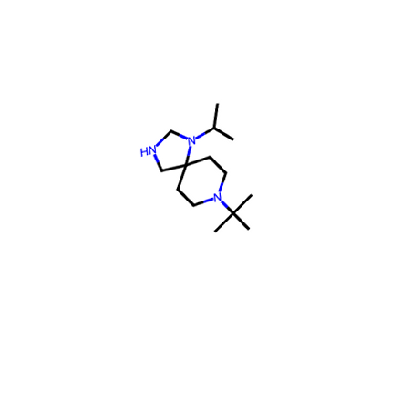 CC(C)N1CNCC12CCN(C(C)(C)C)CC2